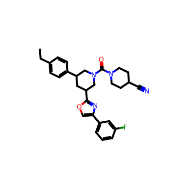 CCc1ccc(C2CC(c3nc(-c4cccc(F)c4)co3)CN(C(=O)N3CCC(C#N)CC3)C2)cc1